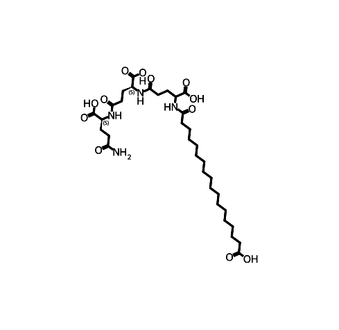 NC(=O)CC[C@H](NC(=O)CC[C@H](NC(=O)CCC(NC(=O)CCCCCCCCCCCCCCCCC(=O)O)C(=O)O)C(=O)O)C(=O)O